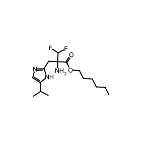 CCCCCCOC(=O)C(N)(Cc1ncc(C(C)C)[nH]1)C(F)F